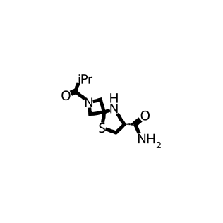 CC(C)C(=O)N1CC2(C1)N[C@H](C(N)=O)CS2